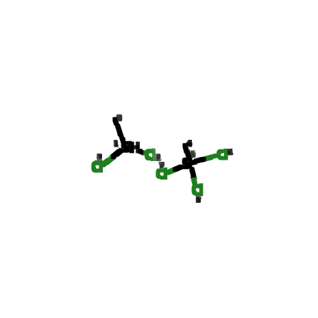 C[SiH](Cl)Cl.C[Si](Cl)(Cl)Cl